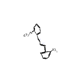 O=[N+]([O-])c1ccccc1/C=C/C=C/c1ccccc1[N+](=O)[O-]